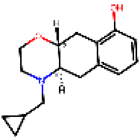 Oc1cccc2c1C[C@H]1OCCN(CC3CC3)[C@@H]1C2